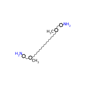 Cc1cc(Cc2ccc(N)cc2)ccc1CCCCCCCCCCCCCCCCCCCc1ccc(Cc2ccc(N)cc2)cc1C